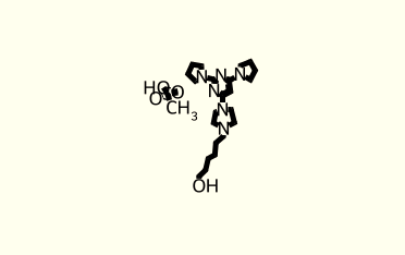 CS(=O)(=O)O.OCCCCCCN1CCN(c2cc(N3CCCC3)nc(N3CCCC3)n2)CC1